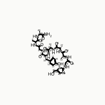 CC(NC(=O)CNC(=O)[C@H](Cc1ccc(O)cc1)NC(=O)[C@H](C)NC(=O)[C@H](C)NC(=O)[C@H](C)NC(=O)CNc1ncc(CO)s1)C(=O)N[C@@H](C)C(N)=O